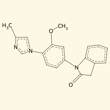 COc1cc(N2C(=O)Cc3ccccc32)ccc1-n1cnc(C)c1